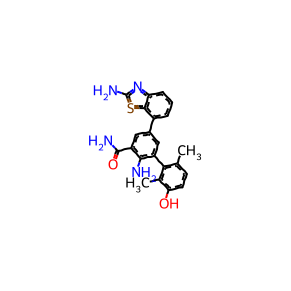 Cc1ccc(O)c(C)c1-c1cc(-c2cccc3nc(N)sc23)cc(C(N)=O)c1N